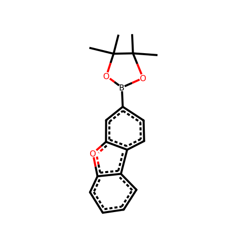 CC1(C)OB(c2ccc3c(c2)oc2ccccc23)OC1(C)C